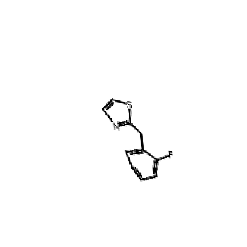 Fc1ccccc1Cc1nccs1